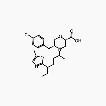 CCC(CCC(C)N1C[C@H](C(=O)O)OC[C@@H]1Cc1ccc(Cl)cc1)c1ncc(C)o1